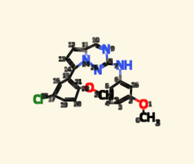 COc1cccc(Nc2ncc3ccc(-c4cc(Cl)ccc4OC)n3n2)c1